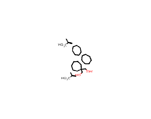 C1CCCCCC1.C1CCCCCC1.C=C(C)C(=O)O.C=C(C)C(=O)O.OCC1(CO)CCCCCC1